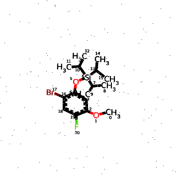 COc1cc(O[Si](C(C)C)(C(C)C)C(C)C)c(Br)cc1F